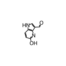 O=Cc1c[nH]c2ccc(O)nc12